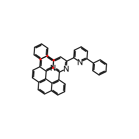 c1ccc(-c2cccc(-c3cc(-c4ccccc4)nc(-c4cccc5ccc6ccc7ccccc7c6c45)n3)n2)cc1